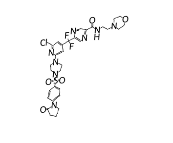 O=C(NCCN1CCOCC1)c1cnc(C(F)(F)c2cc(Cl)nc(N3CCN(S(=O)(=O)c4ccc(N5CCCC5=O)cc4)CC3)c2)cn1